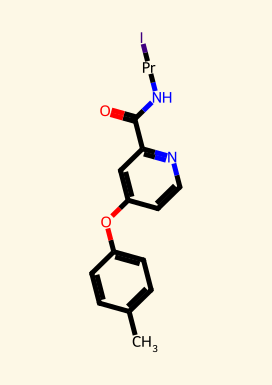 Cc1ccc(Oc2ccnc(C(=O)[NH][Pr][I])c2)cc1